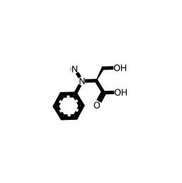 [N]N(c1ccccc1)[C@@H](CO)C(=O)O